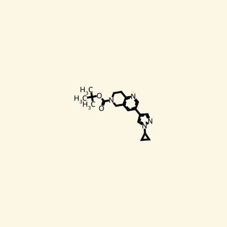 CC(C)(C)OC(=O)N1CCc2ncc(-c3cnn(C4CC4)c3)cc2C1